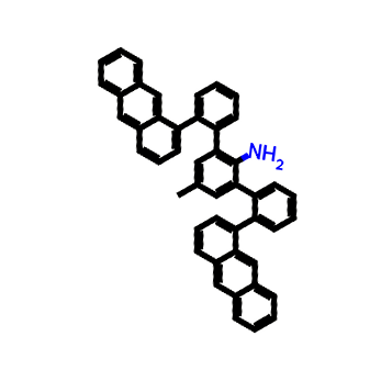 Cc1cc(-c2ccccc2-c2cccc3cc4ccccc4cc23)c(N)c(-c2ccccc2-c2cccc3cc4ccccc4cc23)c1